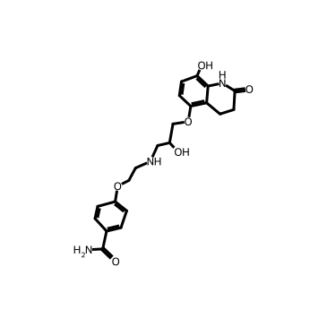 NC(=O)c1ccc(OCCNCC(O)COc2ccc(O)c3c2CCC(=O)N3)cc1